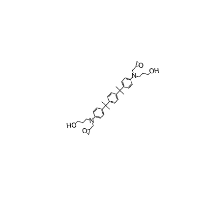 CC(C)(c1ccc(N(CCCO)CC2CO2)cc1)c1ccc(C(C)(C)c2ccc(N(CCCO)CC3CO3)cc2)cc1